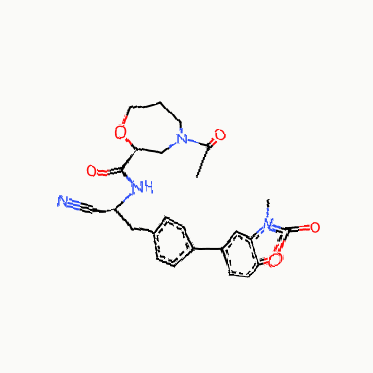 CC(=O)N1CCCO[C@H](C(=O)N[C@H](C#N)Cc2ccc(-c3ccc4oc(=O)n(C)c4c3)cc2)C1